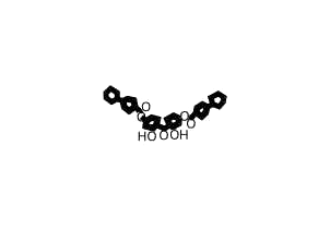 O=C(Oc1ccc(C(=O)c2ccc(OC(=O)c3ccc(C4CCCCC4)cc3)cc2O)c(O)c1)c1ccc(C2CCCCC2)cc1